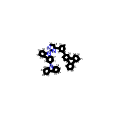 c1cc(-c2ccc3c4ccccc4c4ccccc4c3c2)cc(-c2ccnc(-n3c4ccccc4c4cc(-n5c6ccccc6c6ccccc65)ccc43)n2)c1